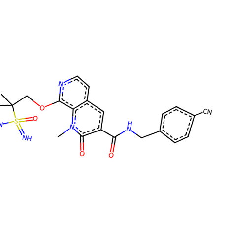 Cn1c(=O)c(C(=O)NCc2ccc(C#N)cc2)cc2ccnc(OCC3(S(=N)(N)=O)CC3)c21